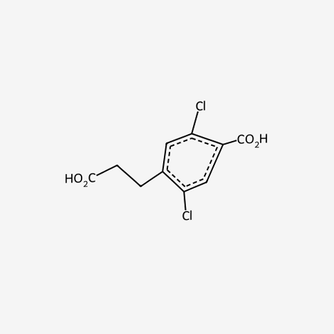 O=C(O)CCc1cc(Cl)c(C(=O)O)cc1Cl